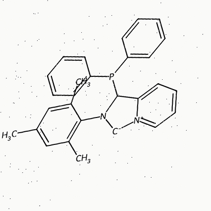 Cc1cc(C)c(N2[CH-][n+]3ccccc3C2P(c2ccccc2)c2ccccc2)c(C)c1